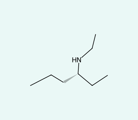 CCC[C@@H](CC)NCC